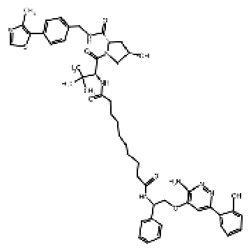 Cc1ncsc1-c1ccc(CNC(=O)[C@@H]2C[C@@H](O)CN2C(=O)[C@@H](NC(=O)CCCCCCCCC(=O)NC(COc2cc(-c3ccccc3O)nnc2N)c2ccccc2)C(C)(C)C)cc1